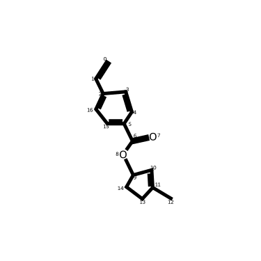 C=Cc1ccc(C(=O)OC2C=C(C)CC2)cc1